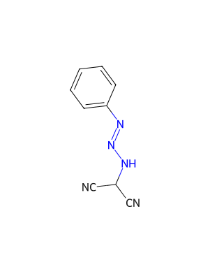 N#CC(C#N)NN=Nc1ccccc1